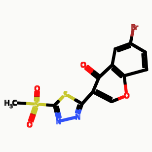 CS(=O)(=O)c1nnc(-c2coc3ccc(Br)cc3c2=O)s1